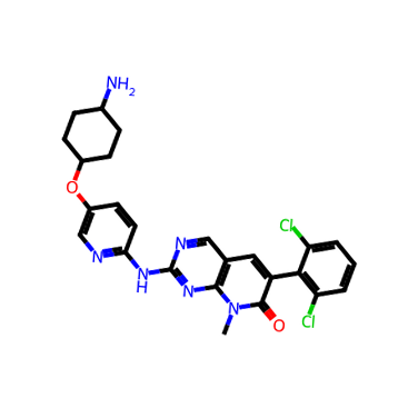 Cn1c(=O)c(-c2c(Cl)cccc2Cl)cc2cnc(Nc3ccc(OC4CCC(N)CC4)cn3)nc21